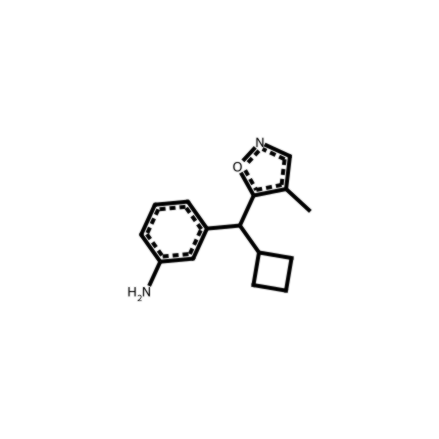 Cc1cnoc1C(c1cccc(N)c1)C1CCC1